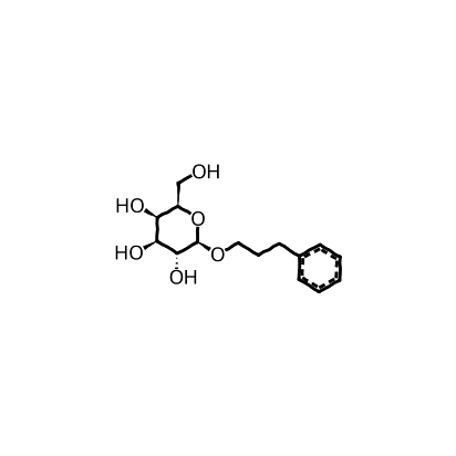 OC[C@H]1O[C@@H](OCCCc2ccccc2)[C@H](O)[C@@H](O)[C@H]1O